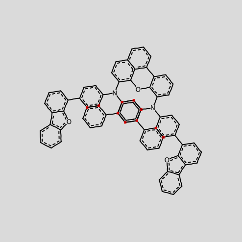 c1ccc(-c2ccc(N(c3ccc(-c4cccc5c4oc4ccccc45)cc3)c3cccc4c3Oc3c(N(c5ccc(-c6ccccc6)cc5)c5ccc(-c6cccc7c6oc6ccccc67)cc5)ccc5cccc-4c35)cc2)cc1